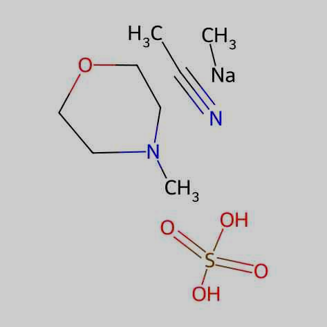 CC#N.CN1CCOCC1.O=S(=O)(O)O.[CH3][Na]